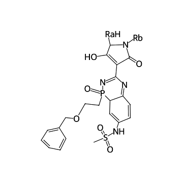 CS(=O)(=O)NC1=CC2C(=NC(C3=C(O)[CH]([RaH])[N]([Rb])C3=O)=NP2(=O)CCOCc2ccccc2)C=C1